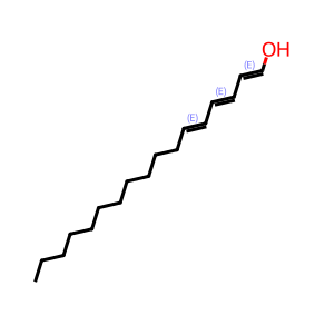 CCCCCCCCCCC/C=C/C=C/C=C/O